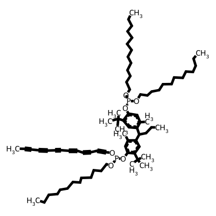 CC#CC#CC#CC#CC#CC#COP(OCCCCCCCCCCCCC)Oc1cc(C)c(C(CCC)c2cc(C(C)(C)C)c(OP(OCCCCCCCCCCCCC)OCCCCCCCCCCCCC)cc2C)cc1C(C)(C)C